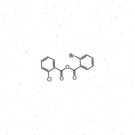 O=C(OC(=O)c1ccccc1Br)c1ccccc1Cl